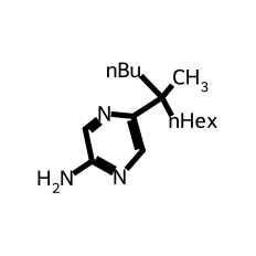 CCCCCCC(C)(CCCC)c1cnc(N)cn1